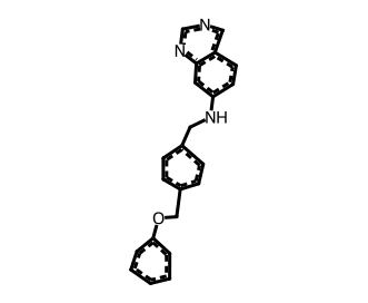 c1ccc(OCc2ccc(CNc3ccc4cncnc4c3)cc2)cc1